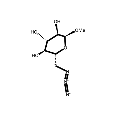 CO[C@H]1O[C@H](CN=[N+]=[N-])[C@@H](O)[C@H](O)[C@H]1O